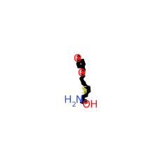 COc1ccc(COCCC#Cc2ccc(CCC(C)(N)CO)s2)cc1